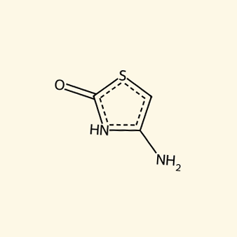 Nc1csc(=O)[nH]1